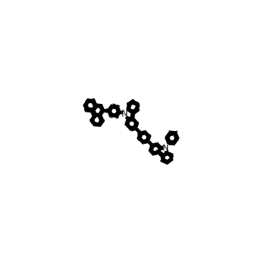 c1ccc(-n2c3ccccc3c3ccc(-c4ccc(-c5ccc6c(c5)c5ccccc5n6-c5ccc(-c6cc7ccccc7c7ccccc67)cc5)cc4)cc32)cc1